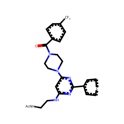 CC(=O)NCCNc1cc(N2CCN(C(=O)c3ccc(C(F)(F)F)cc3)CC2)nc(-c2ccccc2)n1